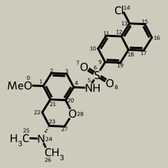 COc1ccc(NS(=O)(=O)c2ccc3c(Cl)cccc3c2)c2c1C[C@@H](N(C)C)CO2